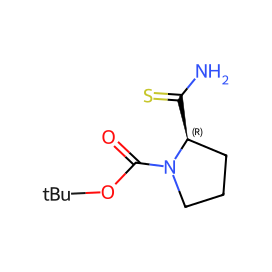 CC(C)(C)OC(=O)N1CCC[C@@H]1C(N)=S